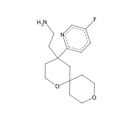 NCCC1(c2ccc(F)cn2)CCOC2(CCOCC2)C1